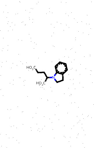 O=C(O)CCC(C(=O)O)N1CCc2ccccc21